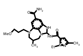 CCn1nc(C)cc1C(=O)NC1Nc2cc(C(N)=O)cc3c2N1CC(C)CN3CCCOC